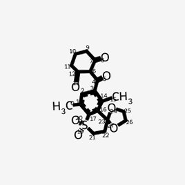 Cc1cc(C(=O)C2C(=O)CCCC2=O)c(C)c2c1S(=O)(=O)CCC21OCCO1